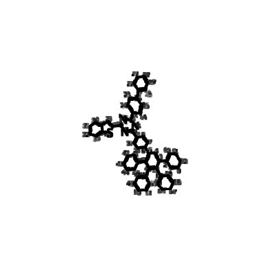 C1=CC(c2cc(-c3ccc(-c4nc(-c5ccc(-c6ccccc6)cc5)nc(-c5cc6ccccc6s5)n4)cc3)c(-c3ccccc3)c(-c3ccccc3)c2C2=CCCC=C2)=CCC1